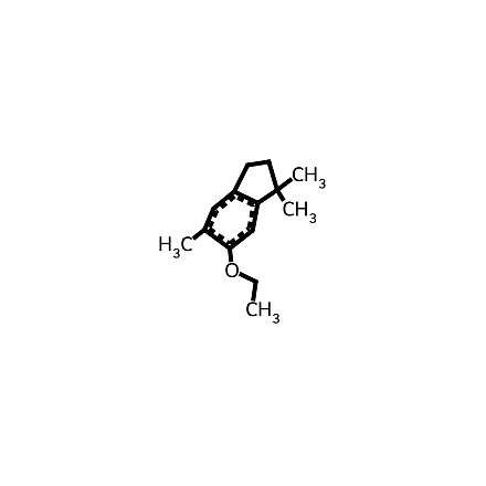 CCOc1cc2c(cc1C)CCC2(C)C